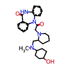 CN(CC1CCCCN1CC(=O)N1c2ccccc2NC(=O)c2ccccc21)C1CCC(O)CC1